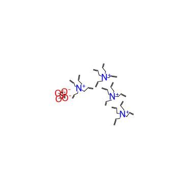 C=CC[N+](CC=C)(CC=C)CC=C.C=CC[N+](CC=C)(CC=C)CC=C.C=CC[N+](CC=C)(CC=C)CC=C.C=CC[N+](CC=C)(CC=C)CC=C.[O-][Si]([O-])([O-])[O-]